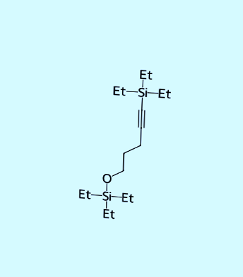 CC[Si](C#CCCCO[Si](CC)(CC)CC)(CC)CC